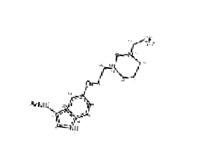 CC(=O)Nc1c[nH]c2ccc(OCC[C@@H]3CCCN(CC(F)(F)F)C3)cc12